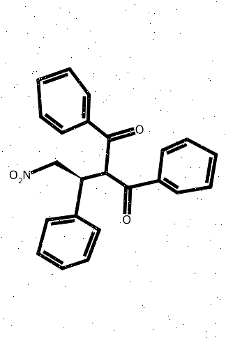 O=C(c1ccccc1)C(C(=O)c1ccccc1)[C@H](C[N+](=O)[O-])c1ccccc1